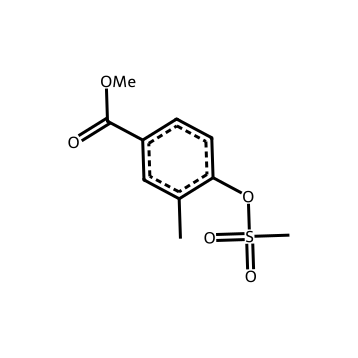 COC(=O)c1ccc(OS(C)(=O)=O)c(C)c1